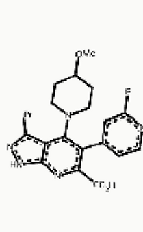 COC1CCN(c2c(-c3ccnc(F)c3)c(C(=O)O)nc3[nH]nc(C(C)C)c23)CC1